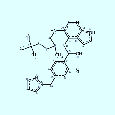 [2H]C([2H])([2H])OCC1(C)CNc2cnc3[nH]ccc3c2N1C(O)c1ccc(Cn2cccn2)cc1Cl